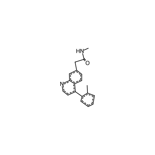 CNC(=O)Cc1ccc2c(-c3ccccc3C)ccnc2c1